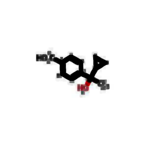 O=C(O)c1ccc(C(O)(C2CC2)C(F)(F)F)cc1